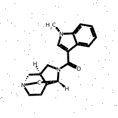 Cn1cc(C(=O)N2C[C@@H]3C[N@@]4CCC3[C@@H]2C4)c2ccccc21